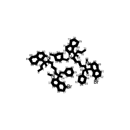 C/C=C/C1(C)/C(=C\C=C\C2=[N+](C)c3ccc4ccc(Br)cc4c3C2(C)Cc2ccccc2)N(Cc2ccc(CN3/C(=C/C=C/C4=[N+](C)c5ccc6ccc(Br)cc6c5C4(C)Cc4ccccc4)C(C)(/C=C/C)c4c3ccc3ccccc43)cc2)c2ccc3ccccc3c21